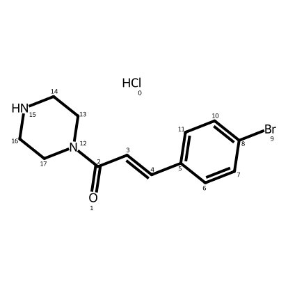 Cl.O=C(/C=C/c1ccc(Br)cc1)N1CCNCC1